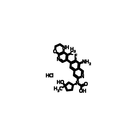 Cc1c(-c2cc3cc(N(C(=O)O)[C@H]4CC[C@](C)(O)C4)ncc3c(N)c2F)cnc2c1NCCO2.Cl